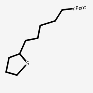 CCCCCCCCCCC1CCCS1